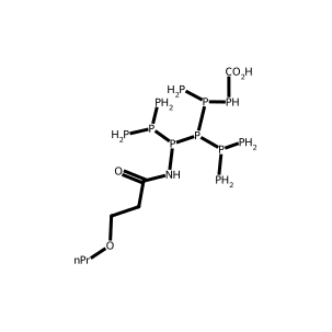 CCCOCCC(=O)NP(P(P)P)P(P(P)P)P(P)PC(=O)O